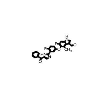 Cc1c(Oc2ccc(F)c(-c3ncc(C(=O)c4ccccc4)[nH]3)c2)c(F)cc2[nH]cc(C=O)c12